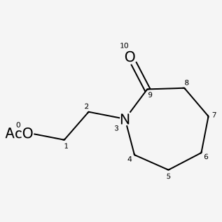 CC(=O)OCCN1CCCCCC1=O